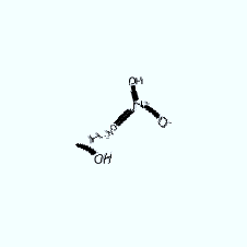 CO.N.O=[N+]([O-])O